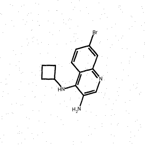 Nc1cnc2cc(Br)ccc2c1NC1CCC1